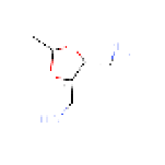 CC1O[C@H](CN)[C@@H](CN)O1